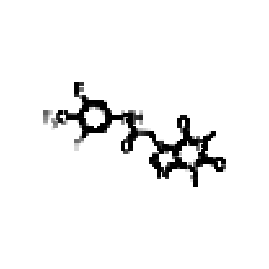 Cn1c(=O)c2c(ncn2CC(=O)Nc2cc(F)c(C(F)(F)F)c(F)c2)n(C)c1=O